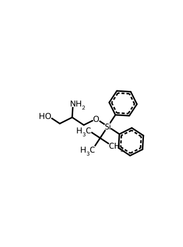 CC(C)(C)[Si](OCC(N)CO)(c1ccccc1)c1ccccc1